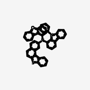 c1ccc(-n2c3ccccc3c3cccc(N(c4ccc5ccc6sc7ccccc7c6c5c4)c4cccc5oc6ccccc6c45)c32)cc1